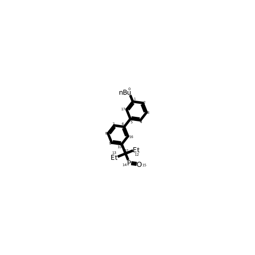 CCCCc1cccc(-c2cccc(C(CC)(CC)P=O)c2)c1